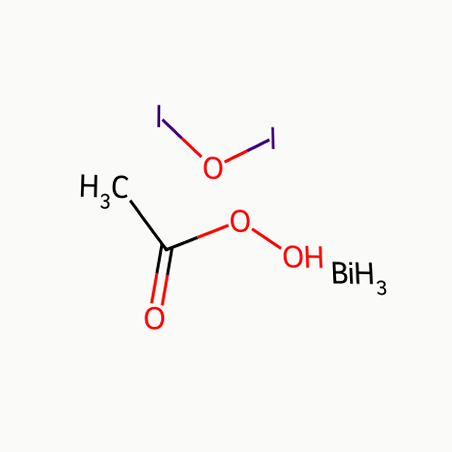 CC(=O)OO.IOI.[BiH3]